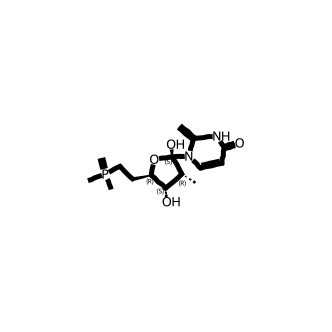 C=C1NC(=O)C=CN1[C@@]1(O)O[C@H](CCP(=C)(C)C)[C@@H](O)[C@H]1C